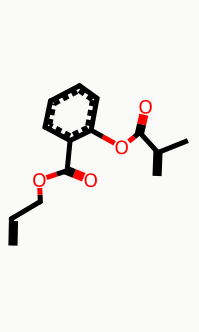 C=CCOC(=O)c1ccccc1OC(=O)C(=C)C